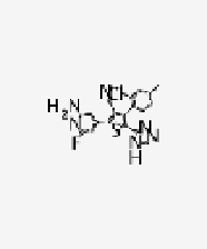 Cc1ccc(-c2c(-c3nnc[nH]3)sc(-c3cc(N)nc(F)c3)c2C#N)c(Cl)c1